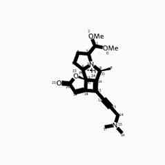 COC(OC)C1CC[C@H]2N1[C@@H](C)C1=C(C#CCN(C)C)C3=CC(=O)O[C@]312